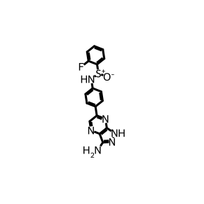 Nc1n[nH]c2nc(-c3ccc(N[S+]([O-])c4ccccc4F)cc3)cnc12